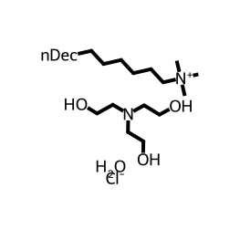 CCCCCCCCCCCCCCCC[N+](C)(C)C.O.OCCN(CCO)CCO.[Cl-]